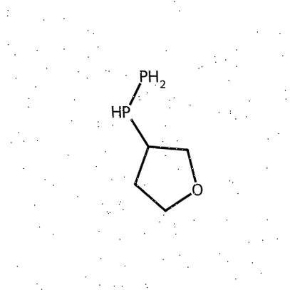 PPC1CCOC1